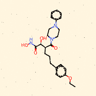 CCOc1ccc(CCCC(C(=O)N2CCN(c3ccccc3)CC2)[C@H](O)C(=O)NO)cc1